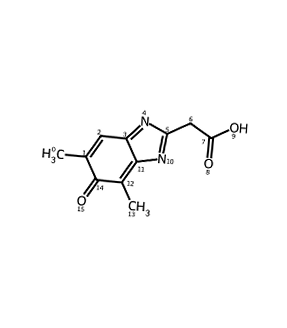 CC1=CC2=NC(CC(=O)O)=NC2=C(C)C1=O